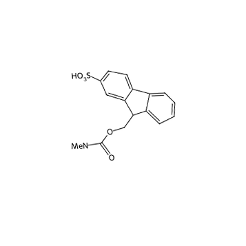 CNC(=O)OCC1c2ccccc2-c2ccc(S(=O)(=O)O)cc21